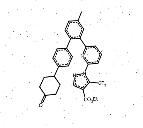 CCOC(=O)c1cnn(-c2cccc(-c3cc(C)ccc3-c3ccc(C4CCC(=O)CC4)cc3)n2)c1C(F)(F)F